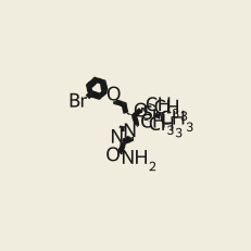 CC(C)(C)[Si](C)(C)O[C@@H](CCCOc1cccc(Br)c1)Cn1cnc(C(N)=O)c1